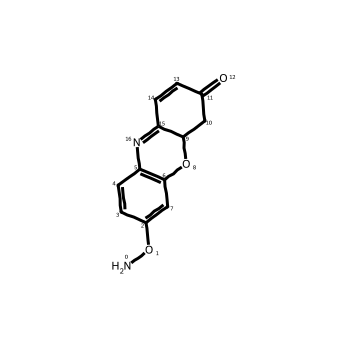 NOc1ccc2c(c1)OC1CC(=O)C=CC1=N2